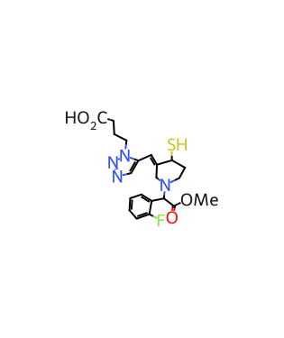 COC(=O)C(c1ccccc1F)N1CCC(S)C(=Cc2cnnn2CCCC(=O)O)C1